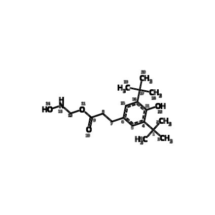 CC(C)(C)c1cc(CCC(=O)OCNO)cc(C(C)(C)C)c1O